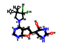 CC1(C)CN(c2ncnc3oc(-c4c[nH]c(=O)[nH]c4=O)cc23)CC1(F)F